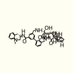 COc1c(CN2O[C@@H](CO)[C@@H]([C@H](C)O)[C@H]2C(=O)N[C@H]2C[C@H]3C[C@@H]([C@@H]2C)C3(C)C)cccc1-c1cc(CN)cc(C(=O)N[C@@H](Cc2ccccc2)CN(C)C)c1